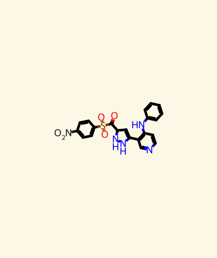 O=C(C1C=C(c2cnccc2Nc2ccccc2)NN1)S(=O)(=O)c1ccc([N+](=O)[O-])cc1